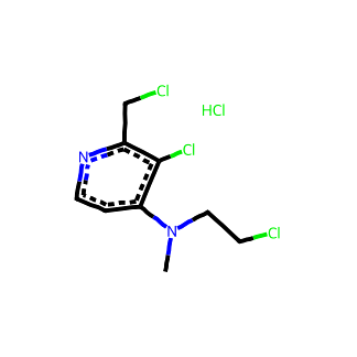 CN(CCCl)c1ccnc(CCl)c1Cl.Cl